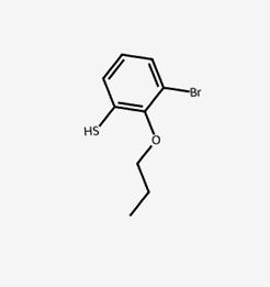 CCCOc1c(S)cccc1Br